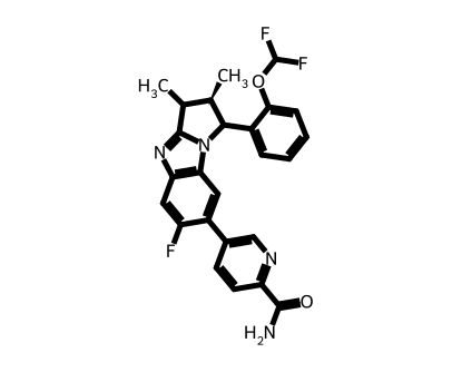 CC1c2nc3cc(F)c(-c4ccc(C(N)=O)nc4)cc3n2C(c2ccccc2OC(F)F)[C@@H]1C